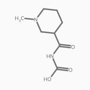 CN1CCCC(C(=O)NC(=O)O)C1